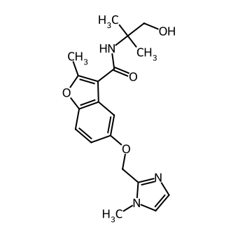 Cc1oc2ccc(OCc3nccn3C)cc2c1C(=O)NC(C)(C)CO